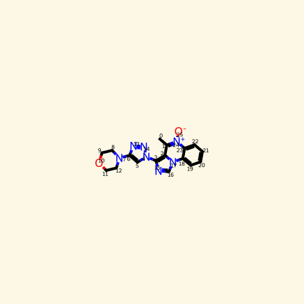 Cc1c2c(-n3cc(N4CCOCC4)nn3)ncn2c2ccccc2[n+]1[O-]